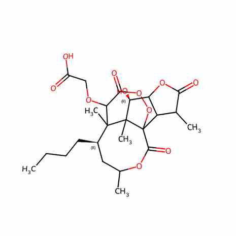 CCCC[C@@H]1CC(C)OC(=O)C23OOC(=O)C(OCC(=O)O)C1(C)C2(C)[C@@H](O)C1OC(=O)C(C)C13